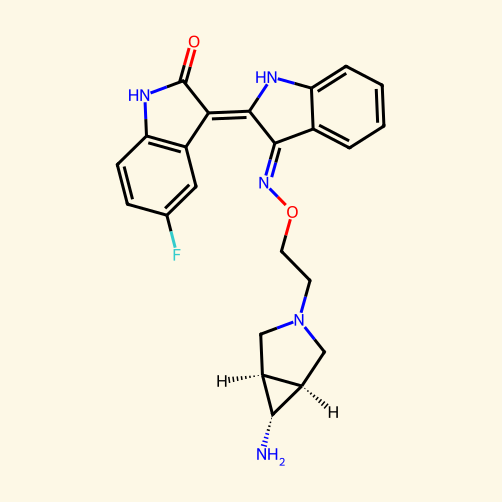 N[C@@H]1[C@H]2CN(CCO/N=C3/C(=C4/C(=O)Nc5ccc(F)cc54)Nc4ccccc43)C[C@@H]12